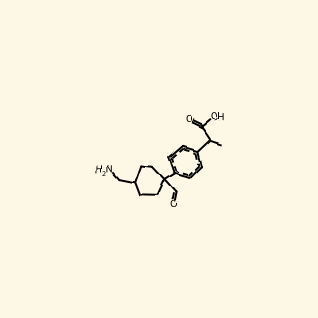 CC(C(=O)O)c1ccc(C2(C=O)CCC(CN)CC2)cc1